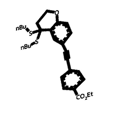 CCCCSC1(SCCCC)CCOc2ccc(C#Cc3ccc(C(=O)OCC)cc3)cc21